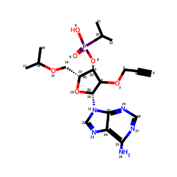 C#CCOC1[C@@H](OP(=O)(O)C(C)C)[C@@H](COC(C)C)O[C@H]1n1cnc2c(N)ncnc21